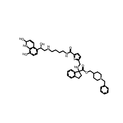 O=C(NCCCCNC[C@H](O)c1ccc(O)c2c1C=CC(O)N2)c1ccc(CNC2(C(=O)OCC3CCN(Cc4ccccc4)CC3)CCc3ccccc32)s1